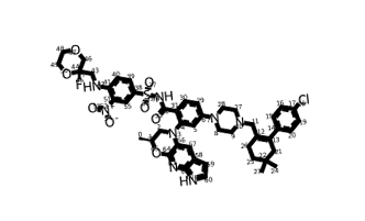 C[C@H]1CN(c2cc(N3CCN(CC4=C(c5ccc(Cl)cc5)CC(C)(C)CC4)CC3)ccc2C(=O)NS(=O)(=O)c2ccc(NC[C@@]3(F)COCCO3)c([N+](=O)[O-])c2)c2cc3cc[nH]c3nc2O1